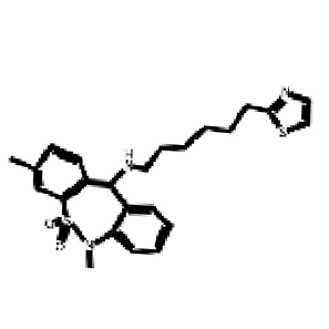 Cc1ccc2c(c1)S(=O)(=O)N(C)c1ccccc1C2NCCCCCCc1nccs1